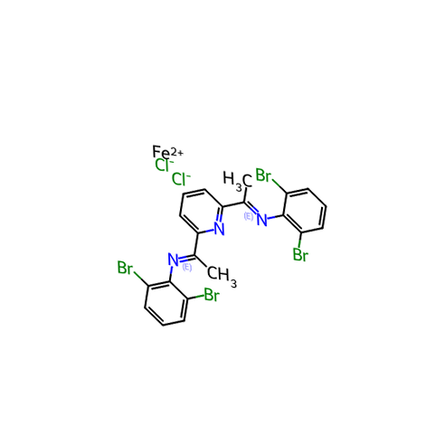 C/C(=N\c1c(Br)cccc1Br)c1cccc(/C(C)=N/c2c(Br)cccc2Br)n1.[Cl-].[Cl-].[Fe+2]